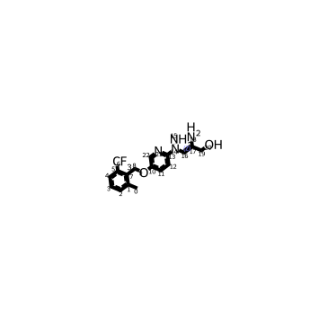 Cc1cccc(C(F)(F)F)c1COc1ccc(N(N)/C=C(\N)CO)nc1